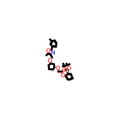 Cc1cccc(-c2nc(CO[C@H]3CCC[C@@H](OCCOc4ccccc4B4OC(C)(C)C(C)(C)O4)C3)c(C)o2)c1